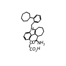 NC(=O)C1CCCCc2c1c1c(OCC(=O)O)cccc1n2Cc1ccccc1C1CCCCCC1